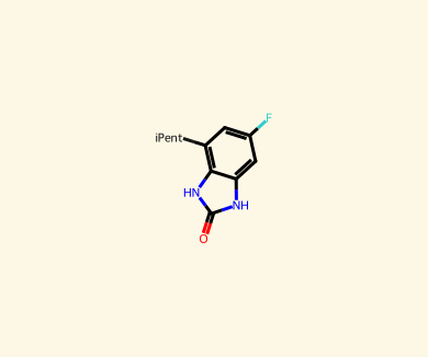 CCCC(C)c1cc(F)cc2[nH]c(=O)[nH]c12